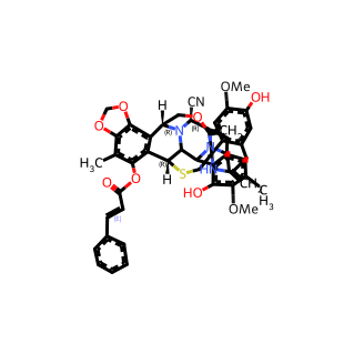 C=CCN1C2c3c(cc(C)c(OC)c3O)CC1[C@H](C#N)N1C2[C@@H]2SC[C@]3(NCCc4cc(O)c(OC)cc43)C(=C)OC[C@H]1c1c3c(c(C)c(OC(=O)/C=C/c4ccccc4)c12)OCO3